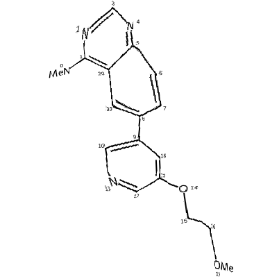 CNc1ncnc2ccc(-c3cncc(OCCOC)c3)cc12